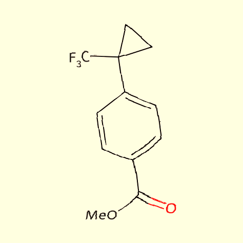 COC(=O)c1ccc(C2(C(F)(F)F)CC2)cc1